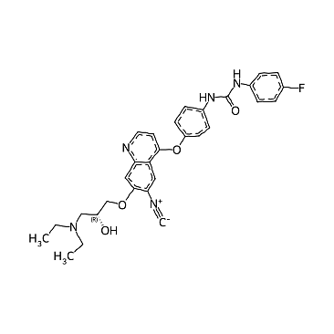 [C-]#[N+]c1cc2c(Oc3ccc(NC(=O)Nc4ccc(F)cc4)cc3)ccnc2cc1OC[C@H](O)CN(CC)CC